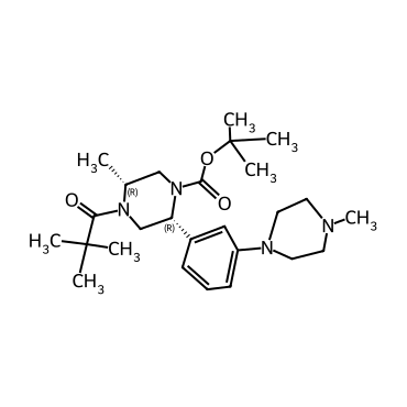 C[C@@H]1CN(C(=O)OC(C)(C)C)[C@H](c2cccc(N3CCN(C)CC3)c2)CN1C(=O)C(C)(C)C